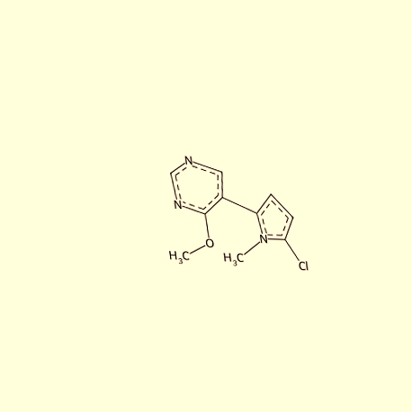 COc1ncncc1-c1ccc(Cl)n1C